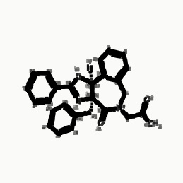 CC(=O)CN1Cc2ccccc2[C@@H]2OC(c3ccccc3)=N[C@]2(Cc2ccccc2)C1=O